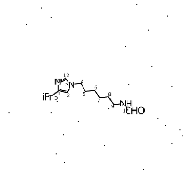 CC(C)c1cn(CCCCCCNC=O)cn1